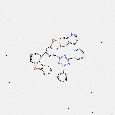 C1=c2cccnc2=CC2Oc3cc(-c4cccc5oc6ccccc6c45)cc(-c4nc(-c5ccccc5)nc(-c5ccccc5)n4)c3C12